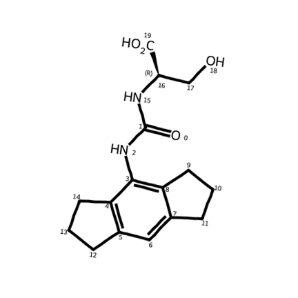 O=C(Nc1c2c(cc3c1CCC3)CCC2)N[C@H](CO)C(=O)O